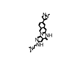 C=C(Nc1cc2cc(-c3cnn(C)c3)ccc2cn1)c1ccnc(NCCN(C)C)c1